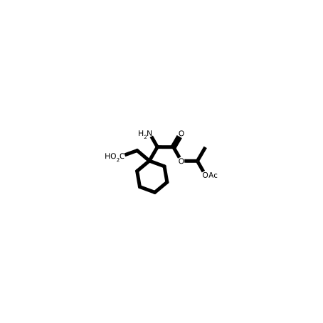 CC(=O)OC(C)OC(=O)C(N)C1(CC(=O)O)CCCCC1